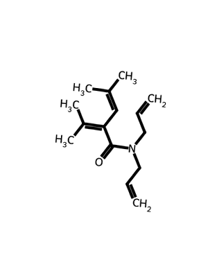 C=CCN(CC=C)C(=O)C(C=C(C)C)=C(C)C